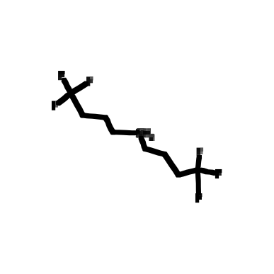 FC(F)(F)CCC[SiH2]CCCC(F)(F)F